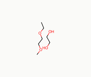 CCOCCOC.OCCO